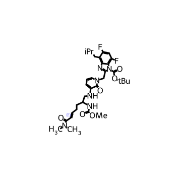 COC(=O)NC(CC/C=C/C(=O)N(C)C)CNc1cccn(Cc2nc3c(CC(C)C)c(F)cc(F)c3n2C(=O)OC(C)(C)C)c1=O